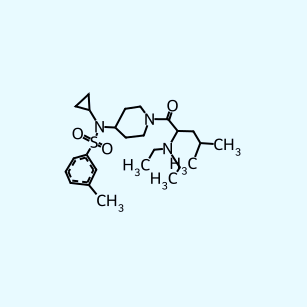 CCN(CC)C(CC(C)C)C(=O)N1CCC(N(C2CC2)S(=O)(=O)c2cccc(C)c2)CC1